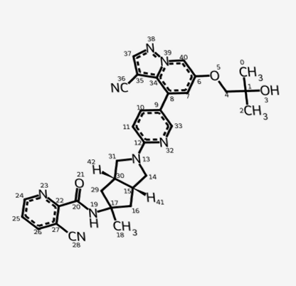 CC(C)(O)COc1cc(-c2ccc(N3C[C@@H]4CC(C)(NC(=O)c5ncccc5C#N)C[C@@H]4C3)nc2)c2c(C#N)cnn2c1